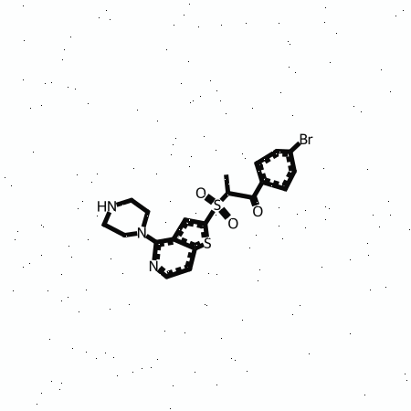 CC(C(=O)c1ccc(Br)cc1)S(=O)(=O)c1cc2c(N3CCNCC3)nccc2s1